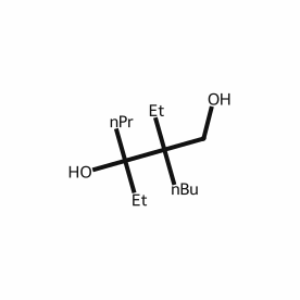 CCCCC(CC)(CO)C(O)(CC)CCC